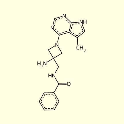 Cc1c[nH]c2ncnc(N3CC(N)(CNC(=O)c4ccccc4)C3)c12